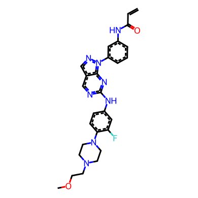 C=CC(=O)Nc1cccc(-n2ncc3cnc(Nc4ccc(N5CCN(CCOC)CC5)c(F)c4)nc32)c1